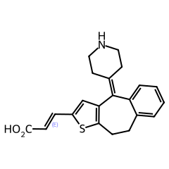 O=C(O)/C=C/c1cc2c(s1)CCc1ccccc1C2=C1CCNCC1